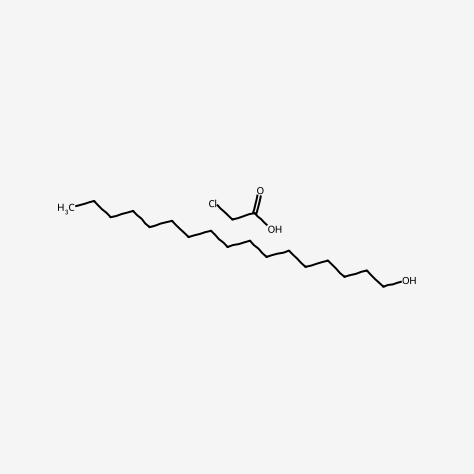 CCCCCCCCCCCCCCCCCO.O=C(O)CCl